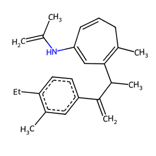 C=C(C)NC1=CC(C(C)C(=C)c2ccc(CC)c(C)c2)=C(C)CC=C1